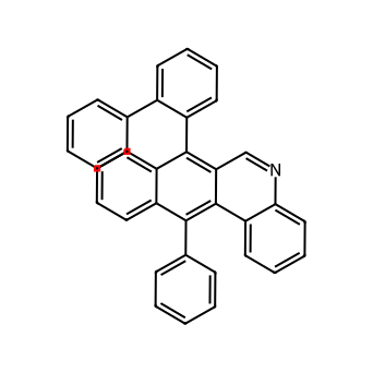 c1ccc(-c2ccccc2-c2c3ccccc3c(-c3ccccc3)c3c2cnc2ccccc23)cc1